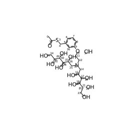 CC(=O)SCc1cccc(OCCN(C[C@H](O)[C@@H](O)[C@H](O)[C@H](O)CO)C[C@H](O)[C@@H](O)[C@H](O)[C@H](O)CO)c1.Cl